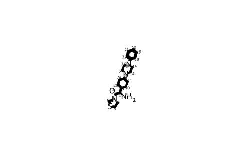 NC(C(=O)N1CCSC1)C1CCC(N2CCN(c3ccccc3)CC2)CC1